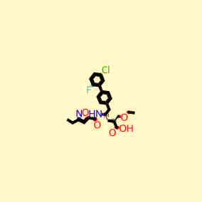 CCOC[C@H](C[C@@H](Cc1ccc(-c2cc(Cl)ccc2F)cc1)NC(=O)c1cc(CC)no1)C(=O)O